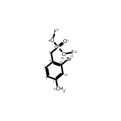 [CH2]c1ccc(CP(=O)(OF)OF)c(Br)c1